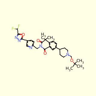 CC(C)(C)OCN1CCC(c2ccc3c(c2)C(=O)N(Cc2ccc(-c4nnc(C(F)F)o4)cn2)C(=O)C3(C)C)CC1